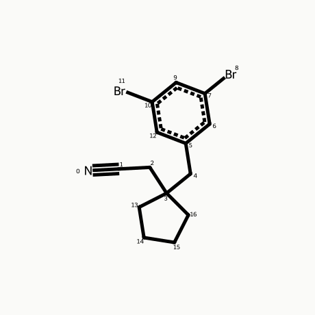 N#CCC1(Cc2cc(Br)cc(Br)c2)CCCC1